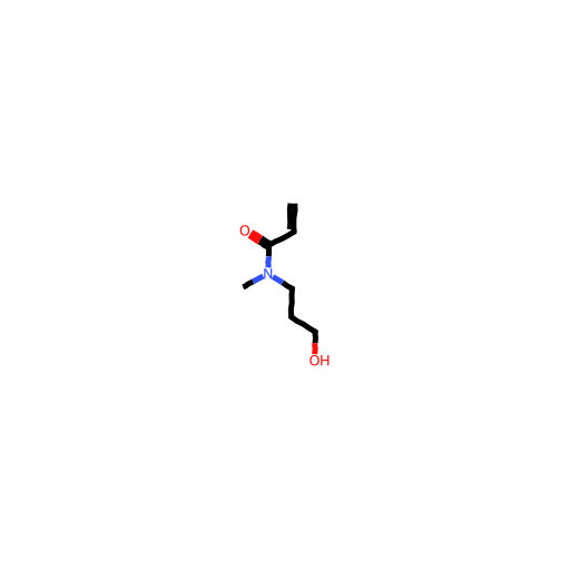 C=CC(=O)N(C)CCCO